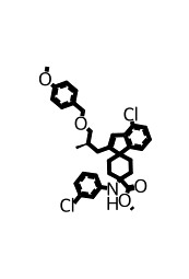 COC(=O)C1(Nc2cccc(Cl)c2)CCC2(CC1)C(C[C@@H](C)COCc1ccc(OC)cc1)=Cc1c(Cl)cccc12